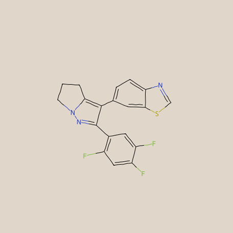 Fc1cc(F)c(-c2nn3c(c2-c2ccc4ncsc4c2)CCC3)cc1F